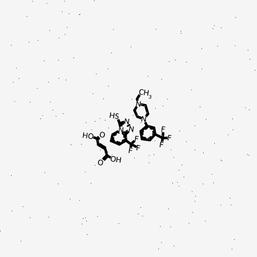 CCN1CCN(c2cccc(C(F)(F)F)c2)CC1.FC(F)(F)c1cccn2c(S)nnc12.O=C(O)C=CC(=O)O